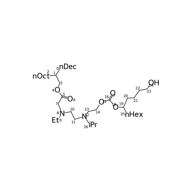 CCCCCCCCCCC(CCCCCCCC)COC(=O)CN(CC)CCN(CCOC(=O)OC(CCCCO)CCCCCC)C(C)C